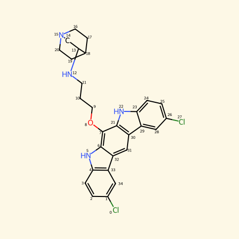 Clc1ccc2[nH]c3c(OCCCNC4CN5CCC4CC5)c4[nH]c5ccc(Cl)cc5c4cc3c2c1